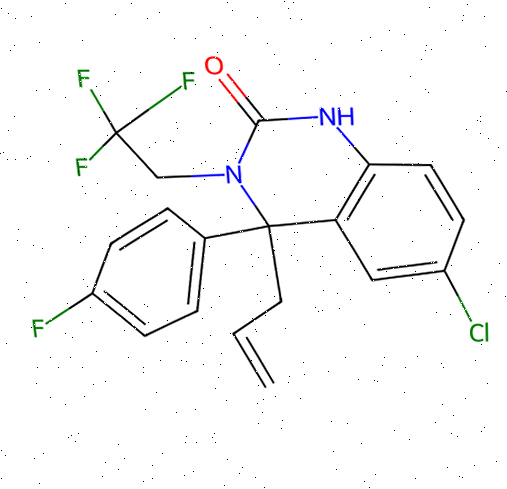 C=CCC1(c2ccc(F)cc2)c2cc(Cl)ccc2NC(=O)N1CC(F)(F)F